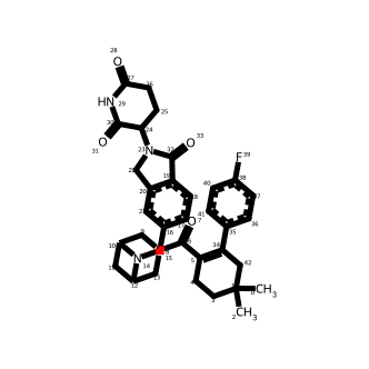 CC1(C)CCC(C(=O)N2CC3CC(C2)N3Cc2ccc3c(c2)CN(C2CCC(=O)NC2=O)C3=O)=C(c2ccc(F)cc2)C1